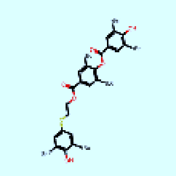 CC(C)(C)c1cc(SCCOC(=O)c2cc(C(C)(C)C)c(OC(=O)c3cc(C(C)(C)C)c(O)c(C(C)(C)C)c3)c(C(C)(C)C)c2)cc(C(C)(C)C)c1O